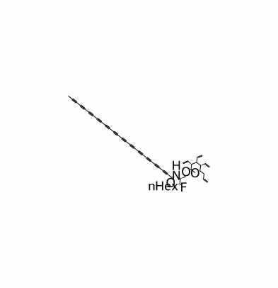 C=CCC1O[C@H](OC[C@H](NC(=O)C#CC#CC#CC#CC#CC#CC#CC#CC#CC#CC#CC#CC)[C@H](F)CCCCCC)[C@@H](C=C)C(C=C)[C@H]1C=C